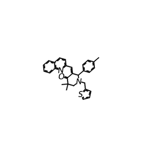 Cc1ccc(C2C(=Cc3ccc4ccccc4n3)C(=O)C(C)(C)CN2Cc2cccs2)cc1